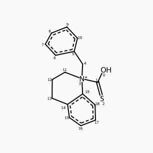 OC(=S)[N+]1(Cc2ccccc2)CCCc2ccccc21